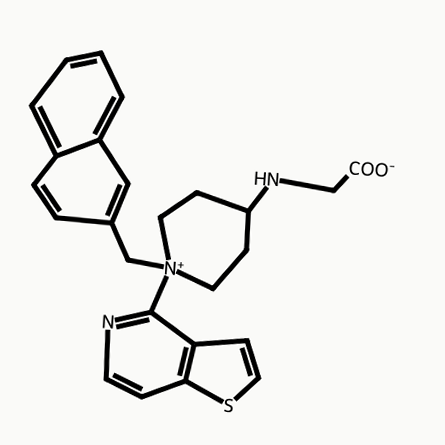 O=C([O-])CNC1CC[N+](Cc2ccc3ccccc3c2)(c2nccc3sccc23)CC1